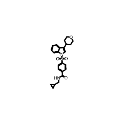 O=C(NCC1CC1)c1ccc(S(=O)(=O)n2cc(C3CCOCC3)c3ccccc32)cc1